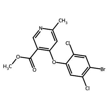 COC(=O)c1cnc(C)cc1Oc1cc(Cl)c(Br)cc1Cl